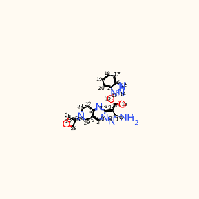 Nc1nn2cc3c(nc2c1C(=O)On1nnc2ccccc21)CCN(C1COC1)C3